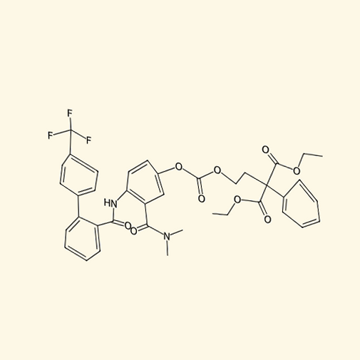 CCOC(=O)C(CCOC(=O)Oc1ccc(NC(=O)c2ccccc2-c2ccc(C(F)(F)F)cc2)c(C(=O)N(C)C)c1)(C(=O)OCC)c1ccccc1